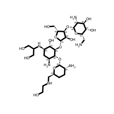 NC[C@@H]1O[C@H](O[C@H]2[C@@H](O)[C@H](O[C@@H]3[C@@H](O)[C@H](NC(CO)CO)C[C@H](N)[C@H]3O[C@H]3O[C@H](CNCCO)CC[C@H]3N)O[C@@H]2CO)[C@H](N)[C@@H](O)[C@@H]1O